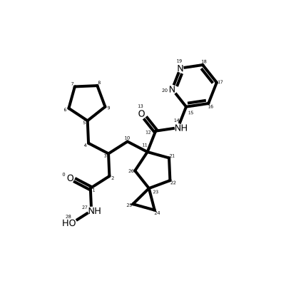 O=C(CC(CC1CCCC1)CC1(C(=O)Nc2cccnn2)CCC2(CC2)C1)NO